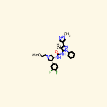 COCCN1C[C@H](NC(=O)Nc2c(C)c(-c3cnn(C)c3)nn2-c2ccccc2)[C@H](c2ccc(F)c(F)c2)C1